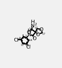 NC(=O)C1(C(=O)Nc2cc(Cl)cc(Cl)c2)COCO1